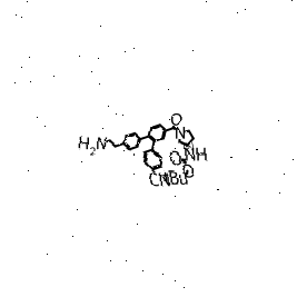 CC(C)(C)OC(=O)N[C@H]1CCN(C(=O)c2ccc(-c3ccc(CCN)cc3)c(-c3ccc(C#N)cc3)c2)C1